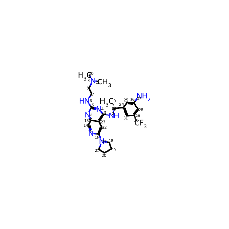 C[C@@H](Nc1nc(NCCN(C)C)nc2cnc(N3CCCC3)cc12)c1cc(N)cc(C(F)(F)F)c1